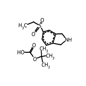 CC(C)(C)OC(=O)O.CCS(=O)(=O)c1ccc2c(c1)CNC2